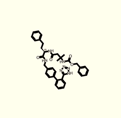 CC(C)(CC(=O)N[C@H](CCc1ccccc1)C(=O)NCc1ccc(-c2ccccc2-c2nnn[nH]2)cc1)NC(=O)OCc1ccccc1